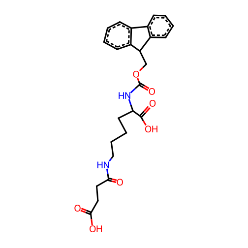 O=C(O)CCC(=O)NCCCCC(NC(=O)OCC1c2ccccc2-c2ccccc21)C(=O)O